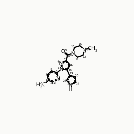 Cc1ccc(-n2nc(C(=O)N3CCN(C)CC3)cc2-c2cc[nH]c2)nn1